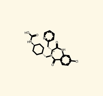 O=C(O)N[C@H]1CC[C@H](CN2C(=O)c3ccc(Cl)cc3NC(=O)[C@H]2Cc2ccccn2)CC1